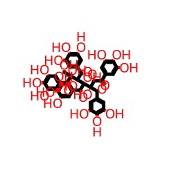 O=C(C(=O)[C@@](O)(C(=O)c1cc(O)c(O)c(O)c1)[C@](O)(C(=O)c1cc(O)c(O)c(O)c1)[C@](O)(C(=O)c1cc(O)c(O)c(O)c1)[C@](O)(CO)C(=O)c1cc(O)c(O)c(O)c1)c1cc(O)c(O)c(O)c1